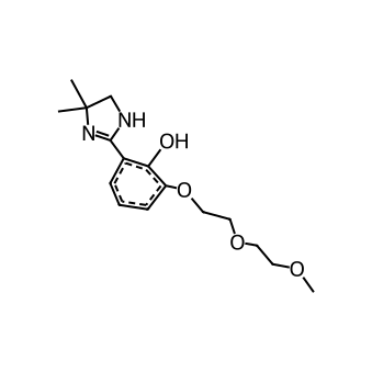 COCCOCCOc1cccc(C2=NC(C)(C)CN2)c1O